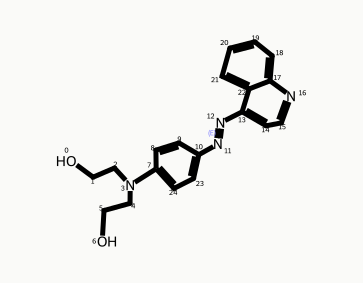 OCCN(CCO)c1ccc(/N=N/c2ccnc3ccccc23)cc1